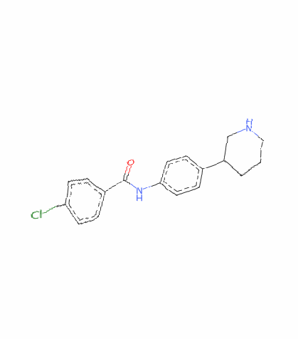 O=C(Nc1ccc(C2CCCNC2)cc1)c1ccc(Cl)cc1